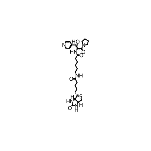 O=C(CCCC[C@@H]1SC[C@@H]2NC(=O)N[C@@H]21)NCCCCCC(=O)N[C@@H](C(=O)N1CCCC1)[C@@H](O)c1ccncc1